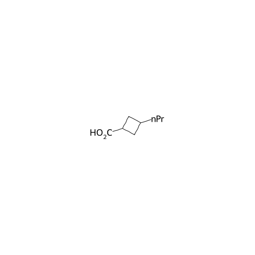 CCCC1CC(C(=O)O)C1